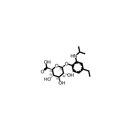 CCc1ccc(O[C@@H]2O[C@H](C(=O)O)[C@@H](O)[C@H](O)[C@H]2O)c(NC(C)C)c1